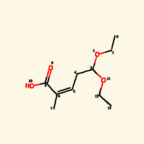 CCOC(CC=C(C)C(=O)O)OCC